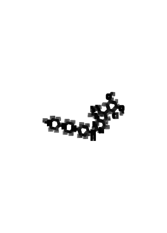 COc1cc(OC)c(Cl)c(-c2cc3cnc(Nc4ccc(N5CCN(C6CCN(C)CC6)CC5)cc4)nc3n3cnnc23)c1